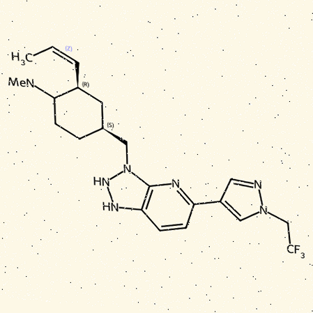 C/C=C\[C@H]1C[C@@H](CN2NNc3ccc(-c4cnn(CC(F)(F)F)c4)nc32)CCC1NC